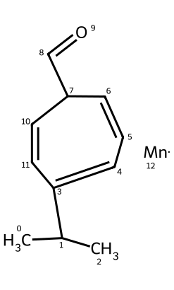 CC(C)C1=CC=CC(C=O)C=C1.[Mn]